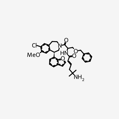 COc1cc2c(cc1Cl)CCN(C(=O)C(COCc1ccccc1)NC(=O)/C=C/CC(C)(C)N)C[C@H]2c1cccc2ccoc12